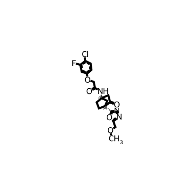 COCc1nnc([C@@]23CC[C@@](NC(=O)COc4ccc(Cl)c(F)c4)(CC2=O)C3)o1